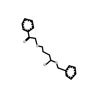 O=C(COCCCC(Cl)OCc1ccccc1)c1ccccc1